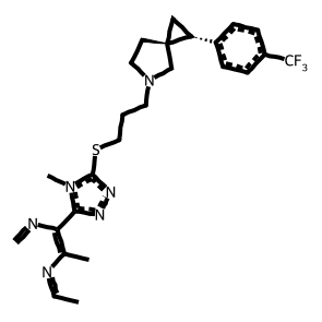 C=N/C(=C(C)\N=C/C)c1nnc(SCCCN2CC[C@]3(C[C@@H]3c3ccc(C(F)(F)F)cc3)C2)n1C